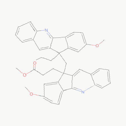 CCCC1(CC2(CCC(=O)OC)c3cc(OC)ccc3-c3nc4ccccc4cc32)c2cc(OC)ccc2-c2nc3ccccc3cc21